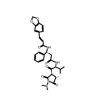 CC(C)[C@H](NC(=O)C[C@H](NC(=O)/C=C/c1ccc2c(c1)OCO2)c1ccccc1)C(=O)[C@@H]1C(=O)N(N(C)C)C(=O)[C@H]1C